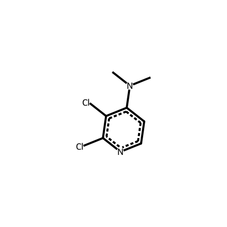 CN(C)c1ccnc(Cl)c1Cl